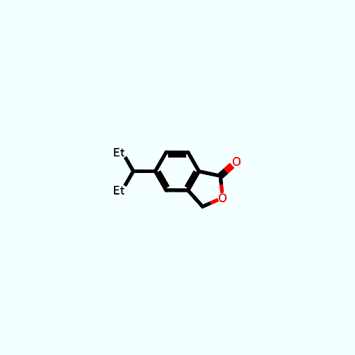 CCC(CC)c1ccc2c(c1)COC2=O